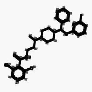 Cc1cccc(OC(c2cccnc2)C2CCN(C(C)CCNC(=O)c3c(Cl)cncc3Cl)CC2)n1